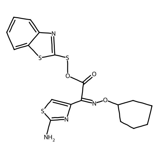 Nc1nc(/C(=N/OC2CCCCC2)C(=O)OSc2nc3ccccc3s2)cs1